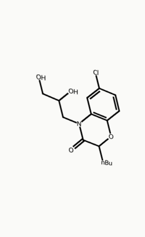 CCCCC1Oc2ccc(Cl)cc2N(CC(O)CO)C1=O